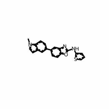 Cn1ccc2cc(-c3ccc4oc(Nc5cccs5)nc4c3)ccc21